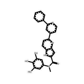 CN(C(=O)c1cc2nc(-c3ccnc(-c4ccccc4)c3)ccc2[nH]1)c1cc(O)c(O)c(O)c1